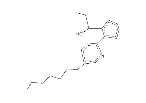 CCCCCCCc1ccc(-c2ccccc2C(O)CC)nc1